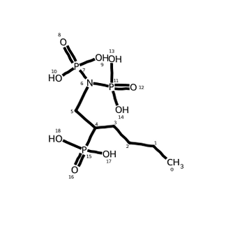 CCCCC(CN(P(=O)(O)O)P(=O)(O)O)P(=O)(O)O